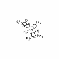 Cc1nn2cc([C@H](C)Nc3nc(N)nc(N)c3C#N)c(-c3cccc(C(F)(F)F)c3)nc2c1Cl